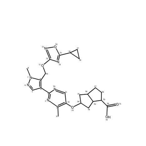 Cc1nc(-c2cnn(C)c2COc2noc(C3CC3)n2)ncc1OC1CC2CCC(C(=O)O)C2C1